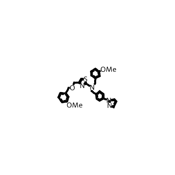 COc1cccc(COCc2csc(N(Cc3ccc(-n4cccn4)cc3)Cc3cccc(OC)c3)n2)c1